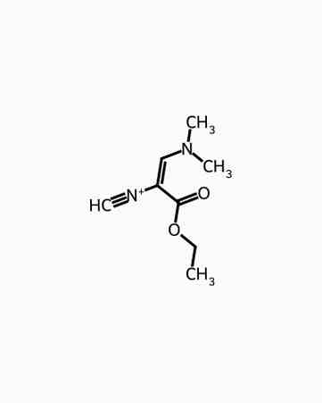 C#[N+]C(=CN(C)C)C(=O)OCC